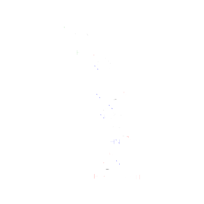 O=C(NCC(=O)N1C[C@H](O)C[C@H]1C(=O)O)c1ccc2c(c1)nc(CN1CCC(c3cccc(OCc4ccc(Cl)cc4F)n3)CC1)n2C[C@@H]1CCO1